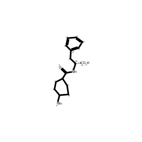 CC(C)(C)C1CCC(C(=O)N[C@H](Cc2ccccc2)C(=O)O)CC1